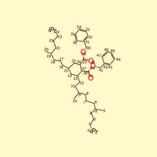 CC(C)CCCC(C)CCCC(C)CCC1CC(CCCC(C)CCCC(C)C)CC(C(=O)OCc2ccccc2)C1C(=O)OCc1ccccc1